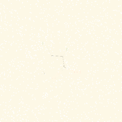 O=C(O)C(Br)CBr.[Zn]